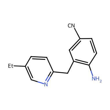 [C-]#[N+]c1ccc(N)c(Cc2ccc(CC)cn2)c1